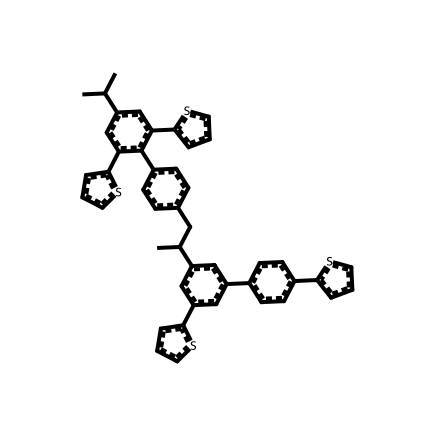 CC(C)c1cc(-c2cccs2)c(-c2ccc(CC(C)c3cc(-c4ccc(-c5cccs5)cc4)cc(-c4cccs4)c3)cc2)c(-c2cccs2)c1